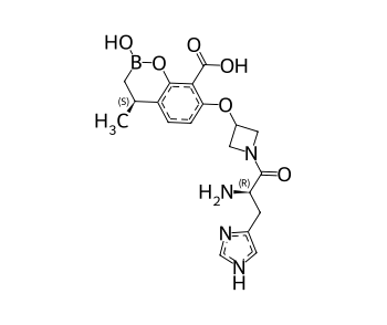 C[C@H]1CB(O)Oc2c1ccc(OC1CN(C(=O)[C@H](N)Cc3c[nH]cn3)C1)c2C(=O)O